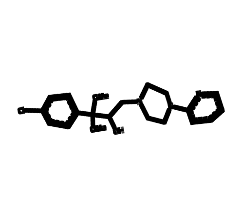 COC(OC)(c1ccc(Cl)cc1)C(O)CN1CCN(c2ccccn2)CC1